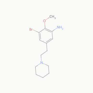 COc1c(N)cc(CCN2CCCCC2)cc1Br